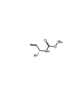 C=C[C@H](NC(=O)OC(C)(C)C)C(C)C